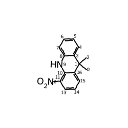 CC1(C)c2ccccc2Nc2c([N+](=O)[O-])cccc21